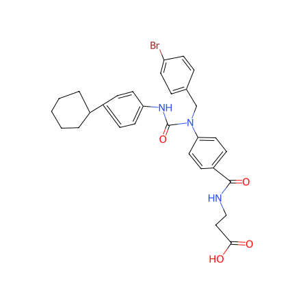 O=C(O)CCNC(=O)c1ccc(N(Cc2ccc(Br)cc2)C(=O)Nc2ccc(C3CCCCC3)cc2)cc1